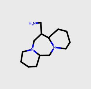 NCC1CN2CCCCC2CN2CCCCC12